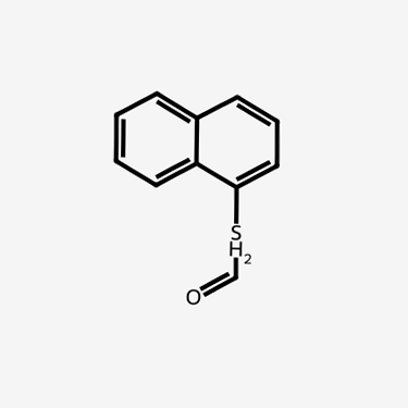 O=C[SH2]c1cccc2ccccc12